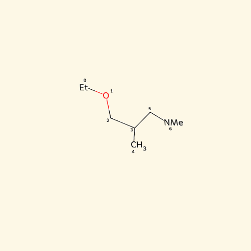 CCOCC(C)CNC